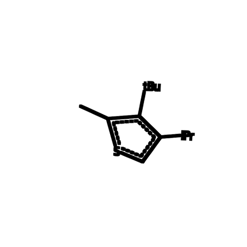 Cc1scc(C(C)C)c1C(C)(C)C